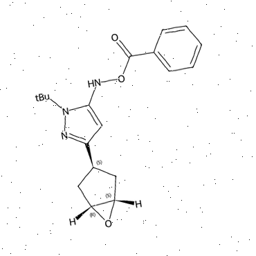 CC(C)(C)n1nc([C@H]2C[C@@H]3O[C@@H]3C2)cc1NOC(=O)c1ccccc1